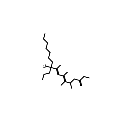 C=C(CC)CC(C)/C(C)=C(C)/C=C(\C)C(Cl)(CCC)CCCCCCC